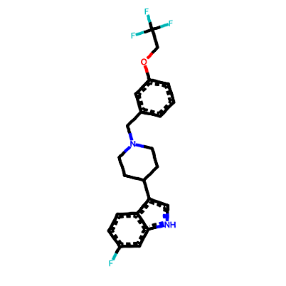 Fc1ccc2c(C3CCN(Cc4cccc(OCC(F)(F)F)c4)CC3)c[nH]c2c1